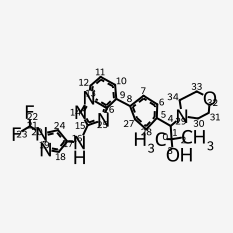 CC(C)(O)C(c1ccc(-c2cccn3nc(Nc4cnn(C(F)F)c4)nc23)cc1)N1CCOCC1